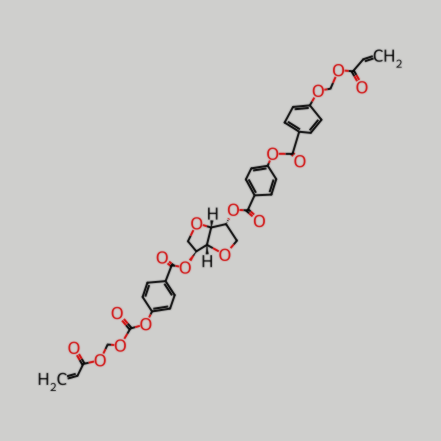 C=CC(=O)OCOC(=O)Oc1ccc(C(=O)O[C@H]2CO[C@H]3[C@@H]2OC[C@H]3OC(=O)c2ccc(OC(=O)c3ccc(OCOC(=O)C=C)cc3)cc2)cc1